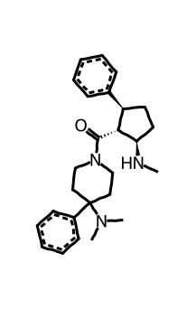 CN[C@@H]1CC[C@H](c2ccccc2)[C@H]1C(=O)N1CCC(c2ccccc2)(N(C)C)CC1